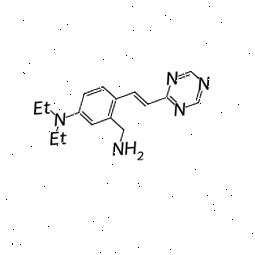 CCN(CC)c1ccc(C=Cc2ncncn2)c(CN)c1